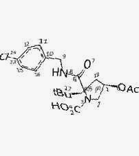 CC(=O)O[C@H]1CN(C(=O)O)[C@@](C(=O)NCc2ccc(Cl)cc2)(C(C)(C)C)C1